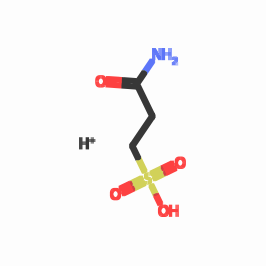 NC(=O)CCS(=O)(=O)O.[H+]